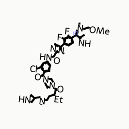 CCC(CCN(C)CC1CNC1)C(=O)N1CCN(C(=O)c2ccc(NC(=O)c3ncc(-c4ccc(/C(=C/N(C)CCOC)C(C)=N)c(F)c4F)n3C)cc2Cl)CC1